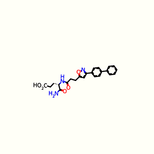 NC(=O)[C@H](CCC(=O)O)NC(=O)CCc1cc(-c2ccc(-c3ccccc3)cc2)no1